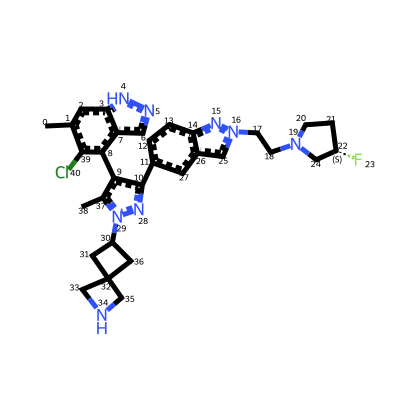 Cc1cc2[nH]ncc2c(-c2c(-c3ccc4nn(CCN5CC[C@H](F)C5)cc4c3)nn(C3CC4(CNC4)C3)c2C)c1Cl